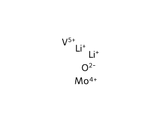 [Li+].[Li+].[Mo+4].[O-2].[V+5]